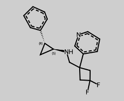 FC1(F)CC(CN[C@H]2C[C@@H]2c2ccccc2)(c2cccnc2)C1